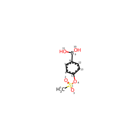 CS(=O)(=O)Oc1ccc(B(O)O)cc1